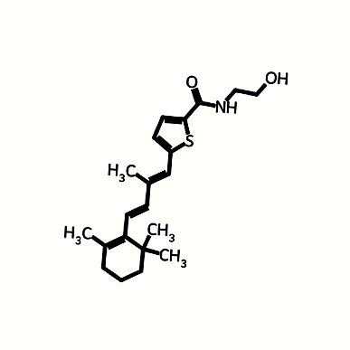 CC1=C(C=C/C(C)=C/c2ccc(C(=O)NCCO)s2)C(C)(C)CCC1